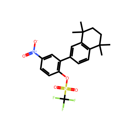 CC1(C)CCC(C)(C)c2cc(-c3cc([N+](=O)[O-])ccc3OS(=O)(=O)C(F)(F)F)ccc21